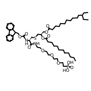 CCCCCCCCCCCC(=O)O[C@H](COC(=O)CCCCCCCCCCC(CC)CC)CSC[C@H](NC(=O)OCC1c2ccccc2-c2ccccc21)C(=O)NCCOCCOCCOCCP(=O)(O)O